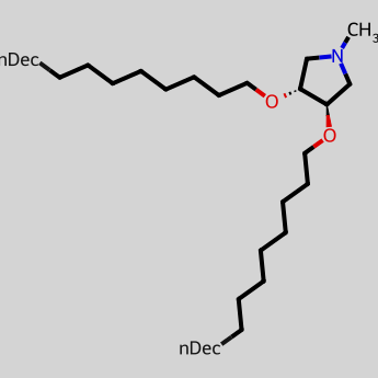 CCCCCCCCCCCCCCCCCCO[C@@H]1CN(C)C[C@H]1OCCCCCCCCCCCCCCCCCC